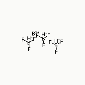 F[BH-](F)F.F[BH-](F)F.F[BH-](F)F.[B+3]